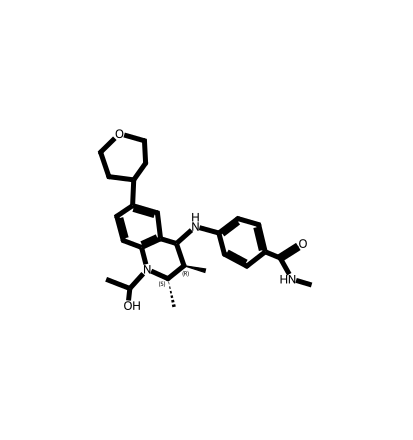 CNC(=O)c1ccc(NC2c3cc(C4CCOCC4)ccc3N(C(C)O)[C@@H](C)[C@@H]2C)cc1